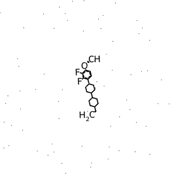 C#COc1ccc(C2CCC(C3CCC(C=C)CC3)CC2)c(F)c1F